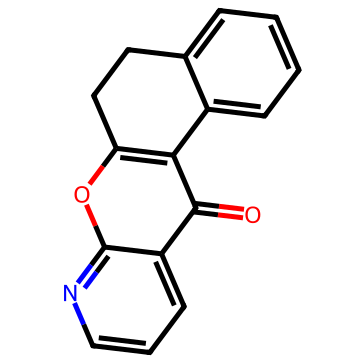 O=c1c2c(oc3ncccc13)CCc1ccccc1-2